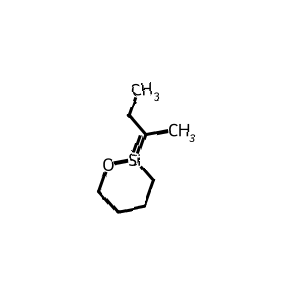 CCC(C)=[Si]1CCCCO1